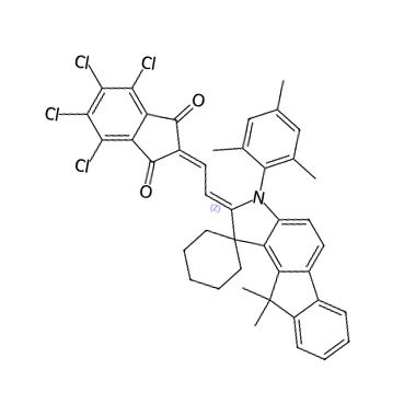 Cc1cc(C)c(N2/C(=C\C=C3C(=O)c4c(Cl)c(Cl)c(Cl)c(Cl)c4C3=O)C3(CCCCC3)c3c2ccc2c3C(C)(C)c3ccccc3-2)c(C)c1